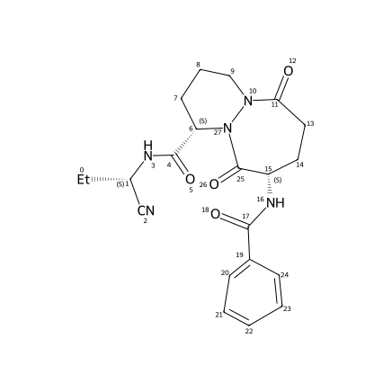 CC[C@@H](C#N)NC(=O)[C@@H]1CCCN2C(=O)CC[C@H](NC(=O)c3ccccc3)C(=O)N12